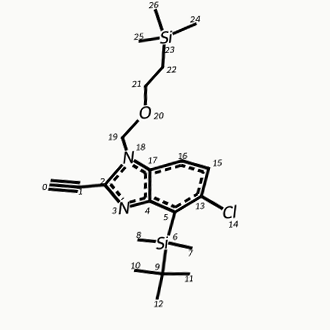 C#Cc1nc2c([Si](C)(C)C(C)(C)C)c(Cl)ccc2n1COCC[Si](C)(C)C